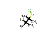 CCC(C)(C)C(C)(C)SCl